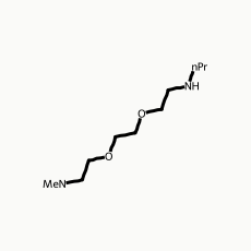 CCCNCCOCCOCCNC